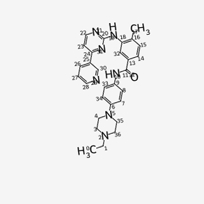 CCN1CCN(c2ccc(NC(=O)c3ccc(C)c(Nc4nccc(-c5cccnc5)n4)c3)cc2)CC1